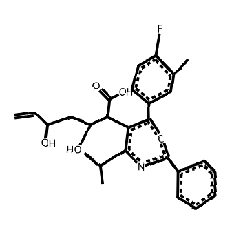 C=CC(O)CC(O)C(C(=O)O)c1c(-c2ccc(F)c(C)c2)cc(-c2ccccc2)nc1C(C)C